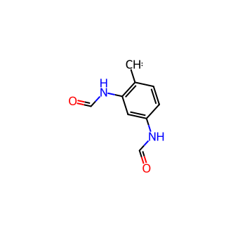 [CH]c1ccc(NC=O)cc1NC=O